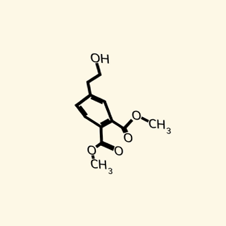 COC(=O)c1ccc(CCO)cc1C(=O)OC